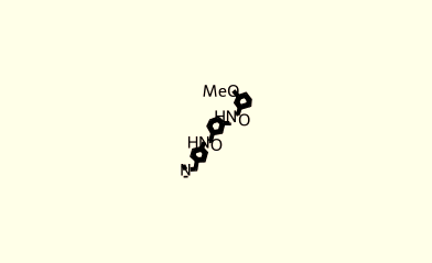 COc1cccc(C(=O)NCc2cccc(C(=O)Nc3ccc(CN(C)C)cc3)c2)c1